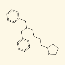 c1ccc(C[S+](CCCCC2CCCO2)Cc2ccccc2)cc1